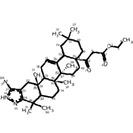 CCOC(=O)CC(=O)[C@]12CCC(C)(C)CC1C1=CCC3[C@@]4(C)Cc5c(n[nH]c5N)C(C)(C)C4CC[C@@]3(C)[C@]1(C)CC2